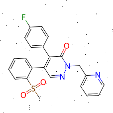 CS(=O)(=O)c1ccccc1-c1cnn(Cc2ccccn2)c(=O)c1-c1ccc(F)cc1